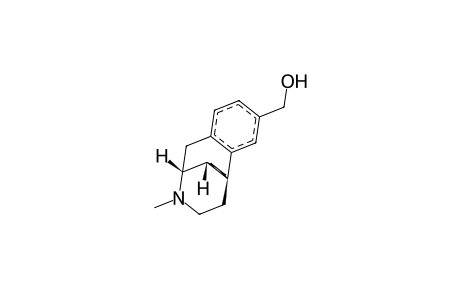 CN1CC[C@]23CCCC[C@H]2[C@H]1Cc1ccc(CO)cc13